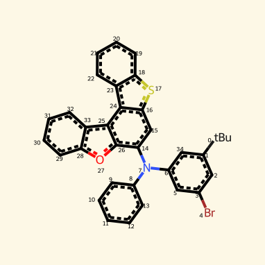 CC(C)(C)c1cc(Br)cc(N(c2ccccc2)c2cc3sc4ccccc4c3c3c2oc2ccccc23)c1